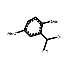 CCCC(O)c1cc(OC)ccc1OC